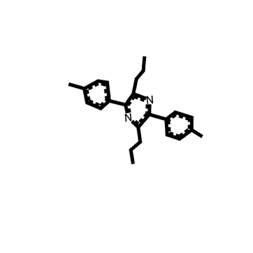 CCCc1nc(-c2ccc(C)cc2)c(CCC)nc1-c1ccc(C)cc1